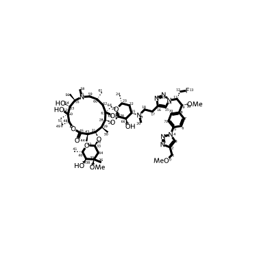 COCc1cn(-c2ccc([C@@H](OC)[C@@H](CF)n3cc(CCN(C)[C@H]4C[C@@H](C)O[C@@H](O[C@@H]5[C@@H](C)[C@H](O[C@H]6C[C@@](C)(OC)[C@@H](O)[C@H](C)O6)[C@@H](C)C(=O)O[C@H](I)[C@@](C)(O)[C@H](O)[C@@H](C)N(C)C[C@H](C)C[C@@]5(C)O)[C@@H]4O)nn3)cc2)nn1